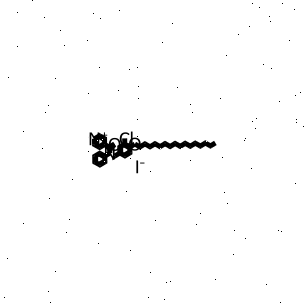 CCCCCCCCCCCCCCCCOc1ccc(CN(C(=O)c2cc[n+](C)cc2)c2ccccc2)cc1Cl.[I-]